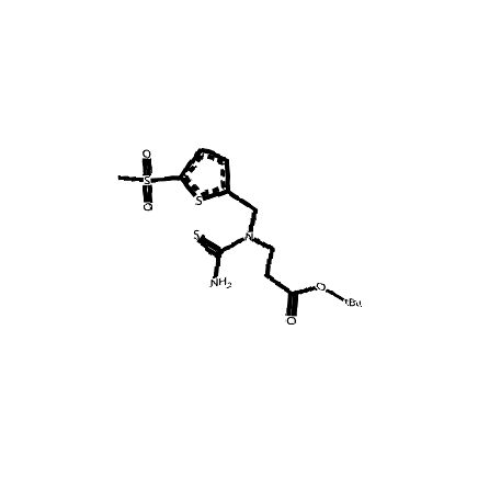 CC(C)(C)OC(=O)CCN(Cc1ccc(S(C)(=O)=O)s1)C(N)=S